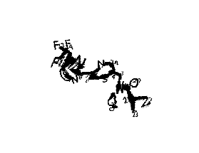 CON(Cc1ccc(-c2noc(C(F)(F)F)n2)nc1)C(=O)C(C)C